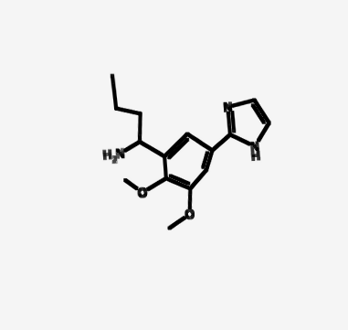 CCCC(N)c1cc(-c2ncc[nH]2)cc(OC)c1OC